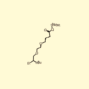 CCCCCCCCCOC(=O)CCCOCCOCC(CC)CCCC